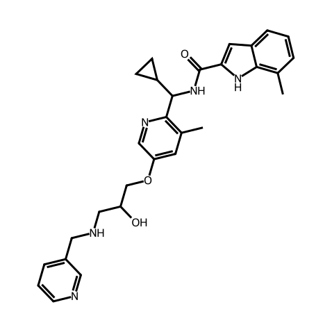 Cc1cc(OCC(O)CNCc2cccnc2)cnc1C(NC(=O)c1cc2cccc(C)c2[nH]1)C1CC1